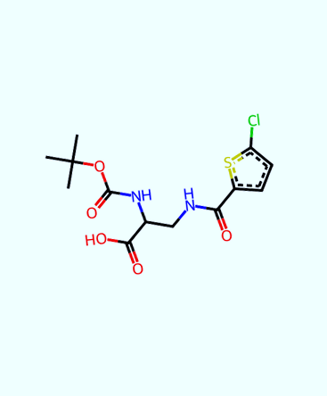 CC(C)(C)OC(=O)NC(CNC(=O)c1ccc(Cl)s1)C(=O)O